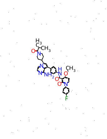 CCOc1ccn(-c2ccc(F)cc2)c(=O)c1C(=O)Nc1ccc(-c2cc(C3CCN(C(=O)C(C)C)CC3)n3ccnc(N)c23)cc1